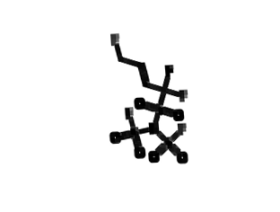 O=S(=O)(F)N(S(=O)(=O)F)S(=O)(=O)C(F)(F)C=CCF